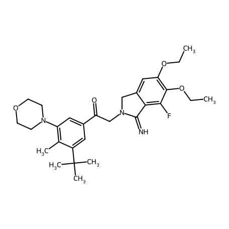 CCOc1cc2c(c(F)c1OCC)C(=N)N(CC(=O)c1cc(N3CCOCC3)c(C)c(C(C)(C)C)c1)C2